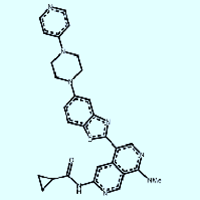 CNc1ncc(-c2nc3cc(N4CCN(c5ccncc5)CC4)ccc3o2)c2cc(NC(=O)C3CC3)ncc12